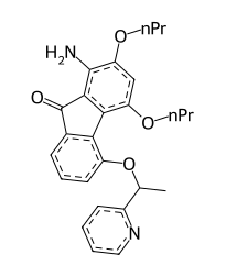 CCCOc1cc(OCCC)c2c(c1N)C(=O)c1cccc(OC(C)c3ccccn3)c1-2